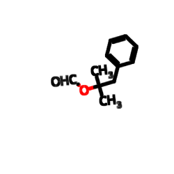 CC(C)(Cc1ccccc1)OC=O